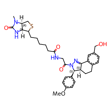 COc1ccc([C@@H]2[C@@H]3CCc4ccc(CO)cc4C3=NN2C(=O)CNC(=O)CCCCCC2SC[C@H]3[C@@H]2NC(=O)N3C)cc1